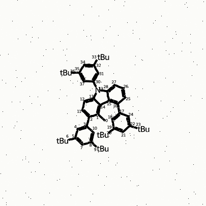 Cc1c(-c2cc(C(C)(C)C)cc(C(C)(C)C)c2)ccc2c1c1c(-c3cc(C(C)(C)C)cc(C(C)(C)C)c3)cccc1n2-c1cc(C(C)(C)C)cc(C(C)(C)C)c1